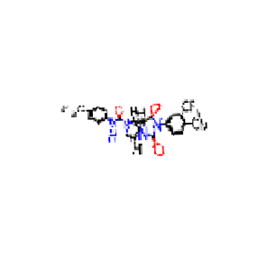 N#Cc1ccc(N2C(=O)[C@H]3[C@@H]4C[C@@H](CN4C(=O)Nc4ccc(C(F)(F)F)cc4)N3C2=O)cc1C(F)(F)F